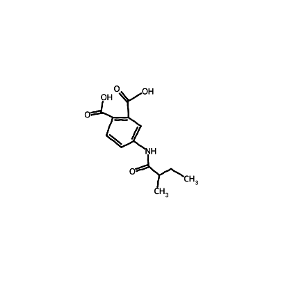 CCC(C)C(=O)Nc1ccc(C(=O)O)c(C(=O)O)c1